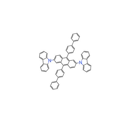 c1ccc(-c2ccc(-c3c4ccc(-n5c6ccccc6c6ccccc65)cc4c(-c4ccc(-c5ccccc5)cc4)c4ccc(-n5c6ccccc6c6ccccc65)cc34)cc2)cc1